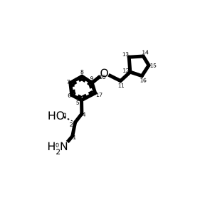 NC[C@H](O)Cc1cccc(OCC2CCCC2)c1